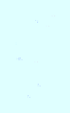 O=C(Nc1cccc(-c2ncc3ccccc3n2)c1)c1ccc(N2CCCS2(=O)=O)cc1F